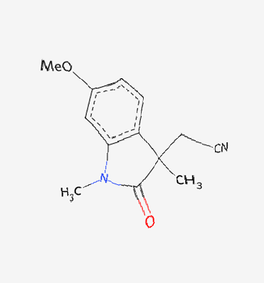 COc1ccc2c(c1)N(C)C(=O)C2(C)CC#N